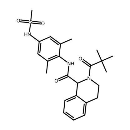 Cc1cc(NS(C)(=O)=O)cc(C)c1NC(=O)C1c2ccccc2CCN1C(=O)C(C)(C)C